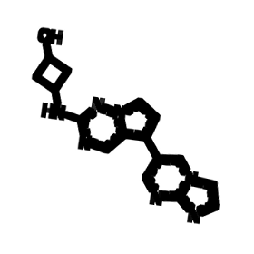 OC1CC(Nc2ncc3c(-c4cnc5nccn5c4)ccn3n2)C1